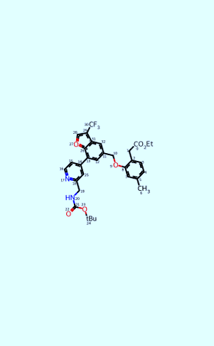 CCOC(=O)Cc1ccc(C)cc1OCc1cc(-c2ccnc(CNC(=O)OC(C)(C)C)c2)c2occ(C(F)(F)F)c2c1